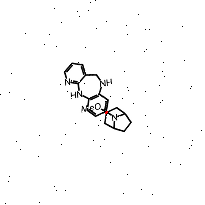 COC1CC2CCC(C1)N2c1ccc2c(c1)NCc1cccnc1N2